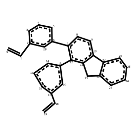 C=Cc1cccc(-c2ccc3c(c2-c2cccc(C=C)c2)Cc2ccccc2-3)c1